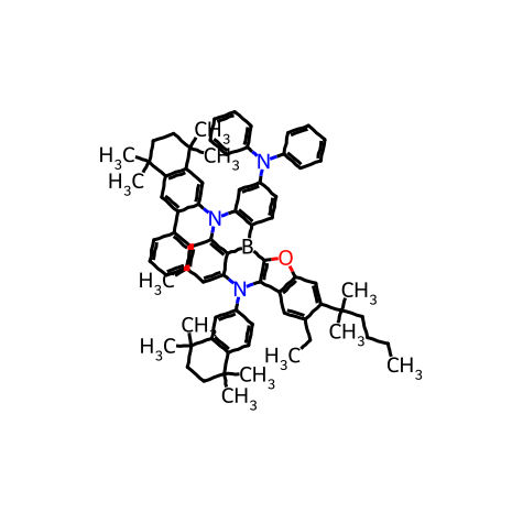 CCCCC(C)(C)c1cc2oc3c(c2cc1CC)N(c1ccc2c(c1)C(C)(C)CCC2(C)C)c1cc(C)cc2c1B3c1ccc(N(c3ccccc3)c3ccccc3)cc1N2c1cc2c(cc1-c1ccccc1)C(C)(C)CCC2(C)C